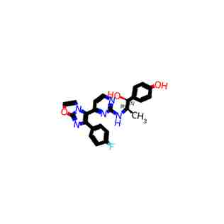 C[C@@H](Nc1nccc(-c2c(-c3ccc(F)cc3)nc3occn23)n1)[C@@H](O)c1ccc(O)cc1